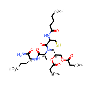 CCCCCCCCCCCCCC(=O)NC(CS)C(=O)N(C[C@H](COC(=O)CCCCCCCCCCC)OC(=O)CCCCCCCCCCC)[C@@H](C)C(=O)N[C@H](CCC(=O)O)C(N)=O